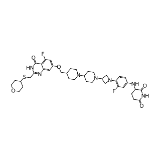 O=C1CCC(Nc2ccc(N3CC(N4CCC(N5CCC(COc6cc(F)c7c(=O)[nH]c(CSC8CCOCC8)nc7c6)CC5)CC4)C3)c(F)c2)C(=O)N1